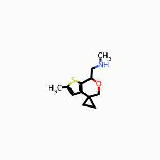 CNCC1OCC2(CC2)c2cc(C)sc21